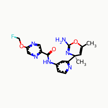 CC1=C[C@@](C)(c2cc(NC(=O)c3cnc(OCF)cn3)ccn2)N=C(N)O1